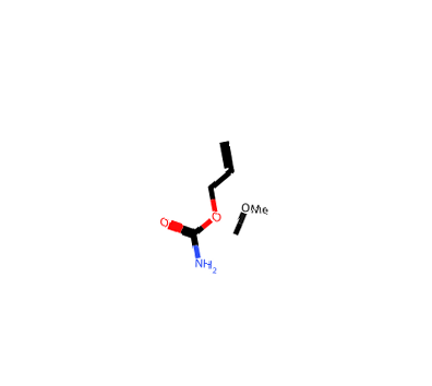 C=CCOC(N)=O.COC